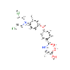 Cc1cc(Oc2ccc(C(=O)N[C@@H](C)C(=O)O)cc2)ccc1N(CCCl)CCCl